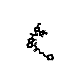 N#Cc1ccc(NC(=O)c2cc3cccc(NC(=O)CCCCc4ccccc4)c3[nH]2)c(-c2noc(=O)[nH]2)c1